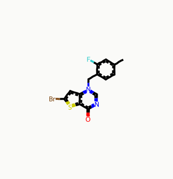 Cc1ccc(Cn2cnc(=O)c3sc(Br)cc32)c(F)c1